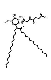 CCCCCCCCCCCCCCN(C(=O)CCCCCCCCCCCCC)[C@@H]1O[C@H](CO)[C@@H](O)[C@H](O)[C@@H]1NC(=O)CNC(=O)CCC(=O)O